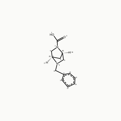 O=C(O)N1C[C@H]2C[C@@H]1CN2Cc1ccccc1